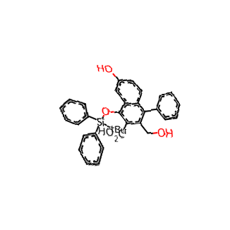 CC(C)(C)[Si](Oc1c(C(=O)O)c(CO)c(-c2ccccc2)c2ccc(O)cc12)(c1ccccc1)c1ccccc1